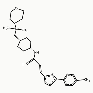 Cc1ccc(-c2ccc(C=CC(=O)N[C@H]3CC[C@H](C[N+](C)(C)C4CCOCC4)CC3)s2)cc1.[I-]